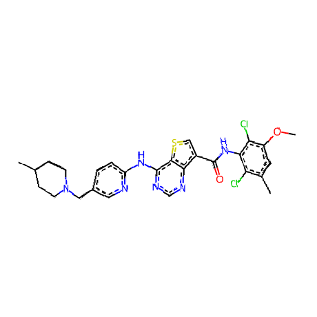 COc1cc(C)c(Cl)c(NC(=O)c2csc3c(Nc4ccc(CN5CCC(C)CC5)cn4)ncnc23)c1Cl